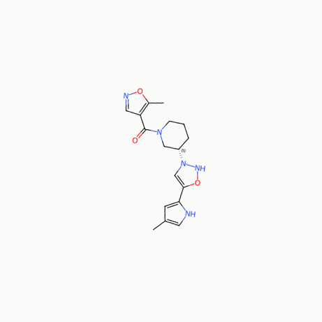 Cc1c[nH]c(C2=CN([C@H]3CCCN(C(=O)c4cnoc4C)C3)NO2)c1